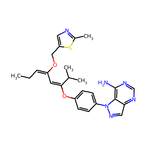 CC/C=C(\C=C(\Oc1ccc(-n2ncc3ncnc(N)c32)cc1)C(C)C)OCc1cnc(C)s1